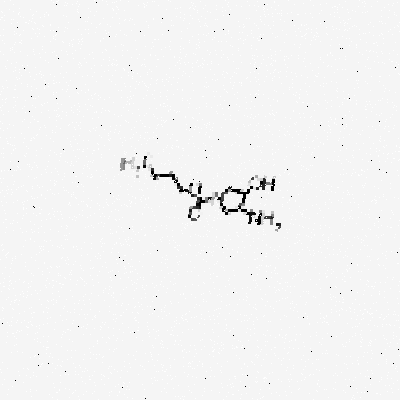 CCCCOC(=O)N1CC(N)C(O)C1